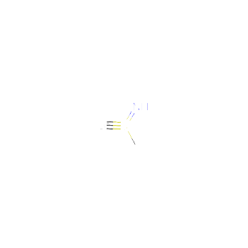 B#S(C)=N